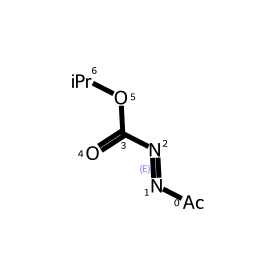 CC(=O)/N=N/C(=O)OC(C)C